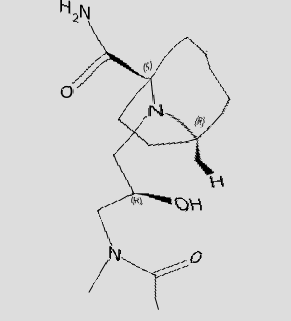 CC(=O)N(C)C[C@H](O)CN1[C@@H]2C[CH]C[C@@]1(C(N)=O)CC2